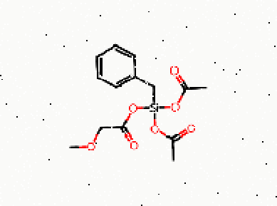 COCC(=O)O[Si](Cc1ccccc1)(OC(C)=O)OC(C)=O